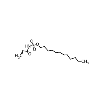 C=CC(=O)NS(=O)(=O)OCCCCCCCCCCCC